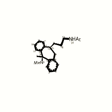 CN[C@]1(C)c2ccccc2C[C@H](CCCNC(C)=O)c2ccccc21